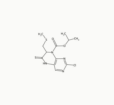 CSCC1C(=S)Nc2cnc(Cl)nc2N1C(=O)OC(C)C